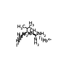 CC(C)CN.CN.I.I.I.N=C(N)N.[I-].[I-].[I-].[I-].[Pb+4]